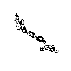 CCCNC(=O)Nc1ccc(N2CCN(c3ccc(OC[C@@H]4CO[C@@](Cn5ccnc5)(c5ccc(Cl)cc5Cl)O4)cc3)CC2)cc1